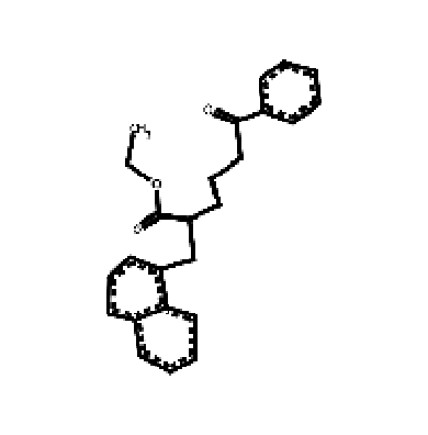 CCOC(=O)C(CCCC(=O)c1ccccc1)Cc1cccc2ccccc12